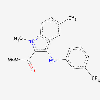 COC(=O)c1c(Nc2cccc(C(F)(F)F)c2)c2cc(C)ccc2n1C